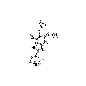 C=CCn1c(OC)nc2nc(N3CCNCC3)[nH]c2c1=O